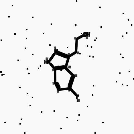 OCCc1n[nH]c2ccc(F)cc12